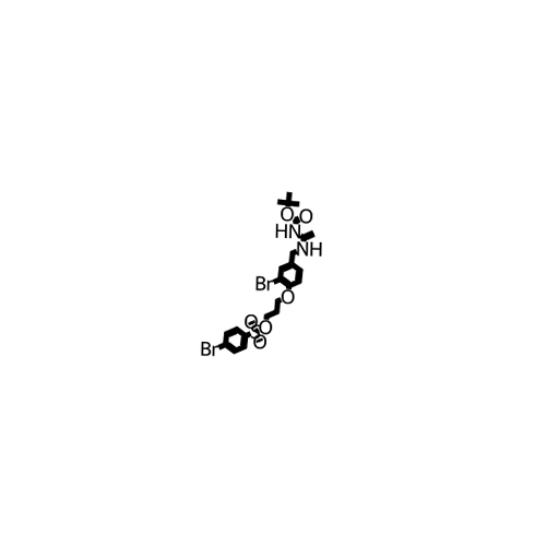 C=C(NCc1ccc(OCCCOS(=O)(=O)c2ccc(Br)cc2)c(Br)c1)NC(=O)OC(C)(C)C